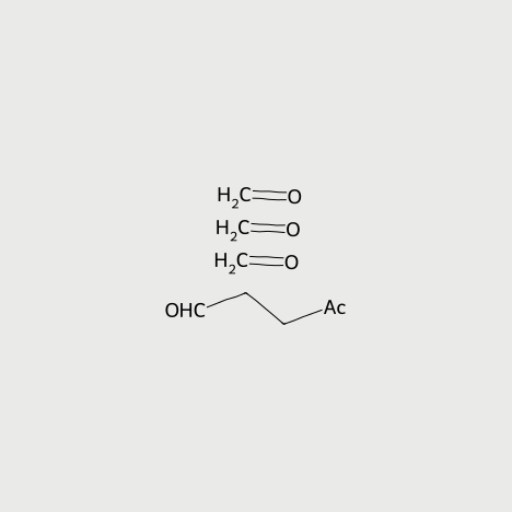 C=O.C=O.C=O.CC(=O)CCC=O